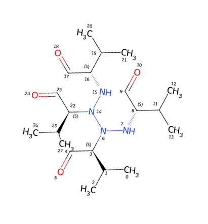 CC(C)[C@@H](C=O)N(N[C@H](C=O)C(C)C)N(N[C@H](C=O)C(C)C)[C@H](C=O)C(C)C